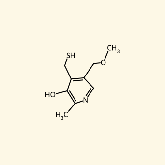 COCc1cnc(C)c(O)c1CS